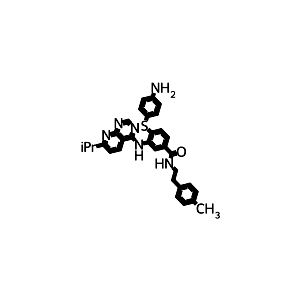 Cc1ccc(CCNC(=O)c2ccc(Sc3ccc(N)cc3)c(Nc3ncnc4nc(C(C)C)ccc34)c2)cc1